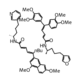 CCCC/C(=C\C=C\C(=O)N[C@H](C)CCCc1cccnc1)c1cc(OC)c2ccc(OC)cc2c1.COc1ccc(C(=C/C=C/C(=O)N[C@H](C)CCCc2ccoc2)c2ccc(OC)c(OC)c2)cc1OC